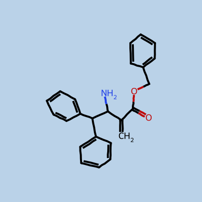 C=C(C(=O)OCc1ccccc1)C(N)C(c1ccccc1)c1ccccc1